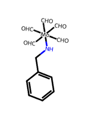 O=[CH][Mo]([CH]=O)([CH]=O)([CH]=O)([CH]=O)[NH]Cc1ccccc1